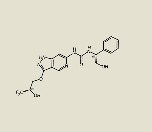 O=C(Nc1cc2[nH]nc(OC[C@@H](O)C(F)(F)F)c2cn1)N[C@H](CO)c1ccccc1